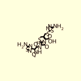 CON=C(C(=O)NC1C(=O)N2C(C(=O)O)=C(CSc3nnc(N)s3)CS[C@@H]12)c1nsc(N)n1